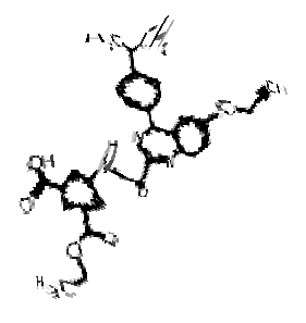 C#CCOc1ccc2nc(C(=O)Nc3cc(C(=O)O)cc(C(=O)OCC)c3)nc(-c3ccc(C(C)C)cc3)c2c1